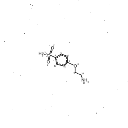 CS(=O)(=O)c1ccc(OCCN)cc1